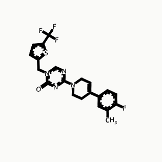 Cc1cc(C2=CCN(c3ncn(Cc4ccc(C(F)(F)F)s4)c(=O)n3)CC2)ccc1F